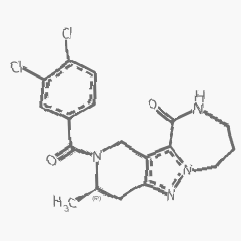 C[C@@H]1Cc2nn3c(c2CN1C(=O)c1ccc(Cl)c(Cl)c1)C(=O)NCCC3